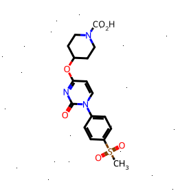 CS(=O)(=O)c1ccc(-n2ccc(OC3CCN(C(=O)O)CC3)nc2=O)cc1